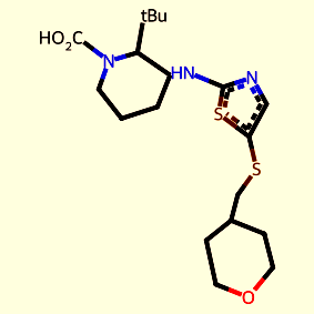 CC(C)(C)C1C(Nc2ncc(SCC3CCOCC3)s2)CCCN1C(=O)O